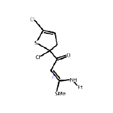 CCN/C(=C\C(=O)C1(Cl)CC=C(Cl)S1)SC